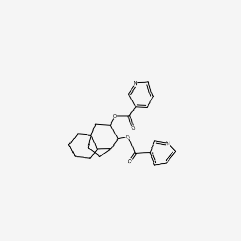 O=C(OC1CC23CCCCC2C(CC3)C1OC(=O)c1cccnc1)c1cccnc1